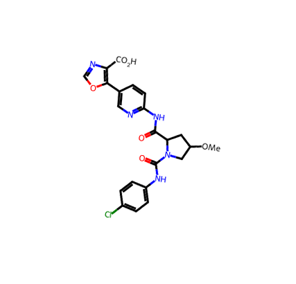 COC1CC(C(=O)Nc2ccc(-c3ocnc3C(=O)O)cn2)N(C(=O)Nc2ccc(Cl)cc2)C1